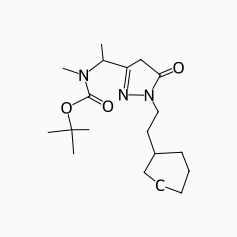 CC(C1=NN(CCC2CCCCC2)C(=O)C1)N(C)C(=O)OC(C)(C)C